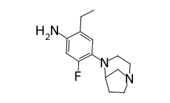 CCc1cc(N2CCN3CCC2C3)c(F)cc1N